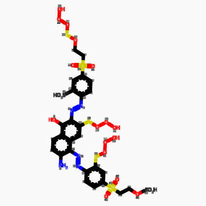 Nc1ccc2c(O)c(/N=N/c3ccc(S(=O)(=O)CCOSOOO)cc3S(=O)(=O)O)c(SOOO)cc2c1N=Nc1ccc(S(=O)(=O)CCOS(=O)(=O)O)cc1SOOO